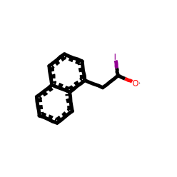 [O]C(I)Cc1cccc2ccccc12